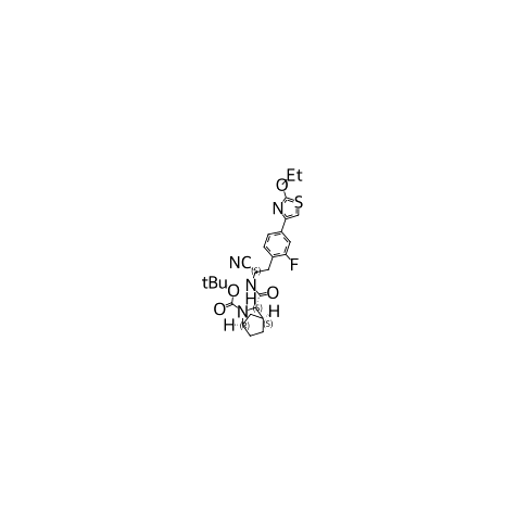 CCOc1nc(-c2ccc(C[C@@H](C#N)NC(=O)[C@@H]3[C@H]4CC[C@H](C4)N3C(=O)OC(C)(C)C)c(F)c2)cs1